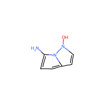 Nc1ccc2ccn(O)n12